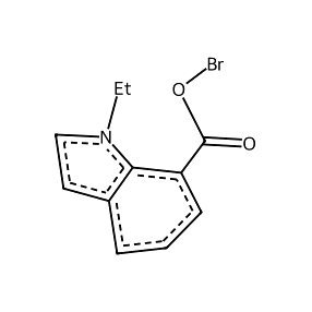 CCn1ccc2cccc(C(=O)OBr)c21